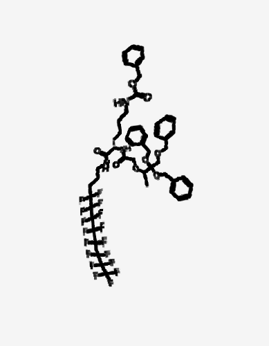 CC(OCC(=O)N[C@@H](CCCCNC(=O)OCc1ccccc1)C(=O)NCCCC(F)(F)C(F)(F)C(F)(F)C(F)(F)C(F)(F)C(F)(F)C(F)(F)C(F)(F)F)C(COCc1ccccc1)(OCc1ccccc1)OCc1ccccc1